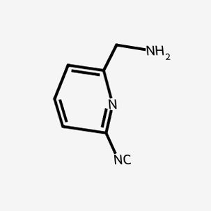 [C-]#[N+]c1cccc(CN)n1